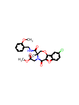 COC(=O)CN1C(=O)c2oc3ccc(Cl)cc3c2OCC1(C)C(=O)NCc1ccccc1OC